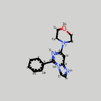 c1ccc(-c2nc(N3CCOCC3)cc3nccn23)cc1